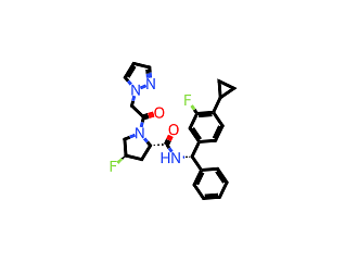 O=C(N[C@@H](c1ccccc1)c1ccc(C2CC2)c(F)c1)[C@@H]1C[C@@H](F)CN1C(=O)Cn1cccn1